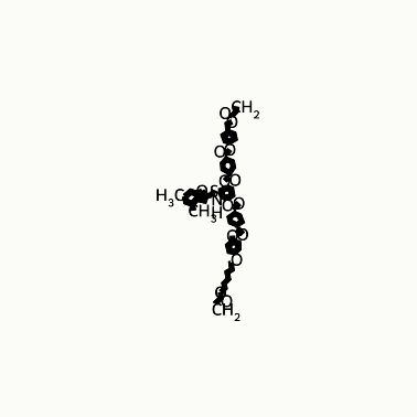 C=CC(=O)OCCCCCCOc1ccc(OC(=O)[C@H]2CC[C@H](C(=O)Oc3ccc(OC(=O)[C@H]4CC[C@H](C(=O)Oc5ccc(COC(=O)C=C)cc5)CC4)c4c3NC(c3cc5c(C)cc(C)cc5o3)S4)CC2)cc1